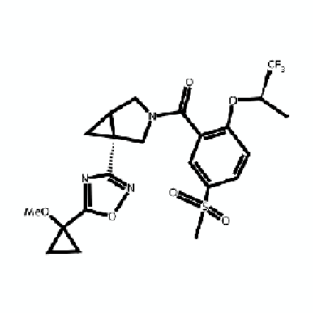 COC1(c2nc([C@]34CC3CN(C(=O)c3cc(S(C)(=O)=O)ccc3O[C@H](C)C(F)(F)F)C4)no2)CC1